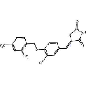 O=C1NC(=S)/C(=C/c2ccc(OCc3ccc(C(F)(F)F)cc3C(F)(F)F)c(Cl)c2)S1